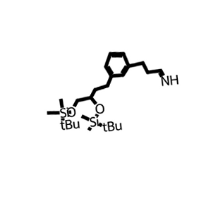 CC(C)(C)[Si](C)(C)OCC(CCc1cccc(CCC=N)c1)O[Si](C)(C)C(C)(C)C